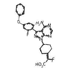 Nc1ncnc2c1c(-c1ccc(Oc3ccccc3)cc1F)nn2C1CCC(=C(F)C(=O)O)CC1